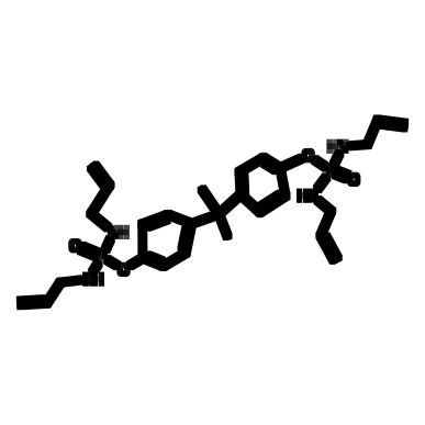 C=CCNP(=O)(NCC=C)Oc1ccc(C(C)(C)c2ccc(OP(=O)(NCC=C)NCC=C)cc2)cc1